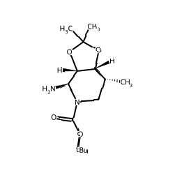 C[C@@H]1CN(C(=O)OC(C)(C)C)[C@@H](N)[C@@H]2OC(C)(C)O[C@@H]21